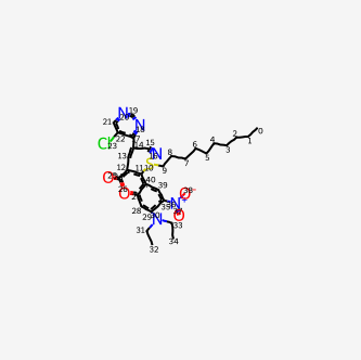 CCCCCCCCCCSc1c(C=C(C#N)c2ncncc2Cl)c(=O)oc2cc(N(CC)CC)c([N+](=O)[O-])cc12